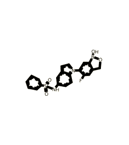 O=S(=O)(Nc1ccc2c(ccn2-c2cc3c(cc2F)COB3O)c1)c1ccccc1